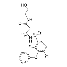 CC[C@@H](N[C@H](C)CC(=O)NCCO)c1ccc(Cl)c(Oc2ccccc2)c1F